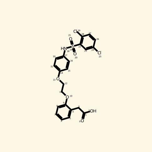 O=C(O)Cc1ccccc1OCCOc1ccc(NS(=O)(=O)c2cc(Cl)ccc2Cl)cc1